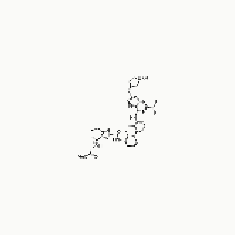 COC(=O)CN[C@H]1CCCn2nc(C(=O)Nc3cccc(-c4cccc(Nc5nc(C(F)F)nc6cc(CN7CC[C@@H](O)C7)cnc56)c4C)c3C)cc21